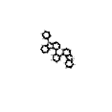 c1ccc(-n2c3ccccc3c3c(-c4ccccc4-c4cccc5oc6ccccc6c45)cccc32)cc1